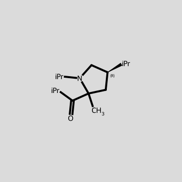 CC(C)C(=O)C1(C)C[C@H](C(C)C)CN1C(C)C